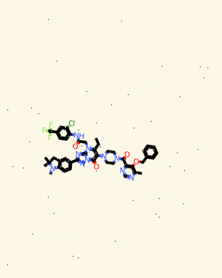 CCc1c(N2CCN(C(=O)c3ncnc(C)c3OCc3ccccc3)CC2)c(=O)n2nc(-c3ccc4c(c3)CC(C)(C)N4C)nc2n1CC(=O)Nc1ccc(C(F)(F)F)cc1Cl